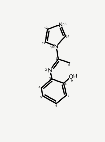 C/C(=N\c1ccccc1O)n1ccnc1